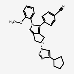 COc1ccccc1-n1nc2c(c1-c1ccc(C#N)cc1)C[C@H](n1cc(C3CCCC3)nn1)C2